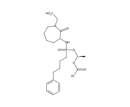 CCC(=O)O[C@H](C)OP(=O)(CCCCc1ccccc1)NC1CCCCN(CC(=O)O)C1=O